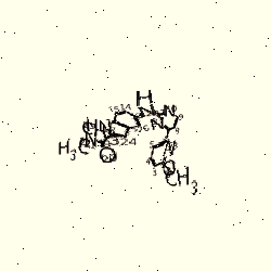 COc1cccc(-c2ccnc(Nc3ccc4[nH]c(C(=O)N(C)C)cc4c3)n2)n1